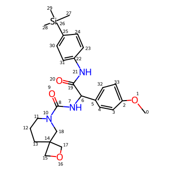 COc1ccc(C(NC(=O)N2CCCC3(COC3)C2)C(=O)Nc2ccc([Si](C)(C)C)cc2)cc1